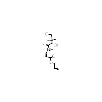 C=CCOC(=O)/C=C\NC(=O)[C@H](O)C(C)(C)CO